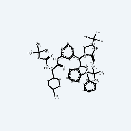 CC1CCC([C@H](NC(=O)OC(C)(C)C)C(=O)Nc2cc(C(CO[Si](c3ccccc3)(c3ccccc3)C(C)(C)C)N3C[C@@H](C(F)(F)F)NC3=O)ccn2)CC1